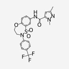 Cc1cc(C(=O)Nc2ccc3c(c2)S(=O)(=O)N(c2ccc(C(F)(F)F)cc2)CCO3)n(C)n1